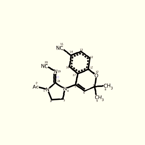 CC(=O)N1CCN(C2=CC(C)(C)Oc3ccc(C#N)cc32)/C1=N/C#N